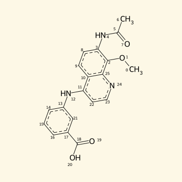 COc1c(NC(C)=O)ccc2c(Nc3cccc(C(=O)O)c3)ccnc12